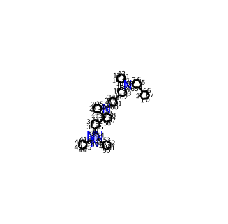 c1ccc(-c2cccc(-n3c4ccccc4c4cc(-c5ccc(-n6c7ccccc7c7c(-c8cccc(-c9nc(-c%10ccccc%10)nc(-c%10ccccc%10)n9)c8)cccc76)cc5)ccc43)c2)cc1